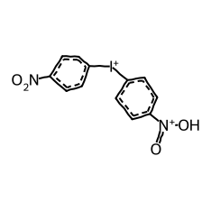 O=[N+]([O-])c1ccc([I+]c2ccc([N+](=O)O)cc2)cc1